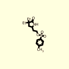 CCC1(CC)CC(CCOS(=O)(=O)c2ccc(C)cc2)NC1=O